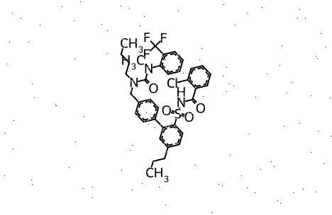 CCCCN(Cc1ccc(-c2cc(CCC)ccc2S(=O)(=O)NC(=O)c2ccccc2Cl)cc1)C(=O)N(C)c1ccccc1C(F)(F)F